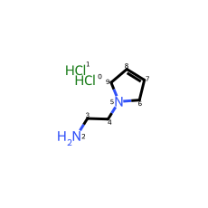 Cl.Cl.NCCN1CC=CC1